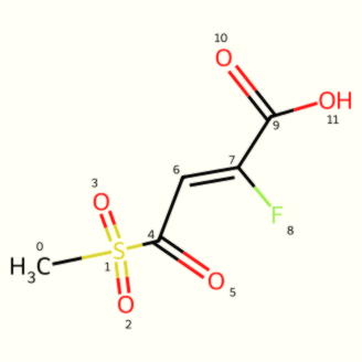 CS(=O)(=O)C(=O)C=C(F)C(=O)O